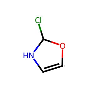 ClC1NC=[C]O1